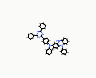 c1ccc(-c2nc(-c3ccccc3)nc(-c3ccc(-n4c5ccccc5c5cc6c(cc54)Nc4ccccc4N6c4ccccc4)cc3)n2)cc1